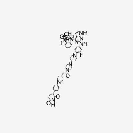 CS(=O)(=O)N1CCc2cccc(Nc3nc(Nc4ccc(N5CCC(N6CCN(C(=O)CC7CCN(c8ccc(C9CCC(=O)NC9=O)cc8)CC7)CC6)CC5)c(F)c4)nc4[nH]ccc34)c21